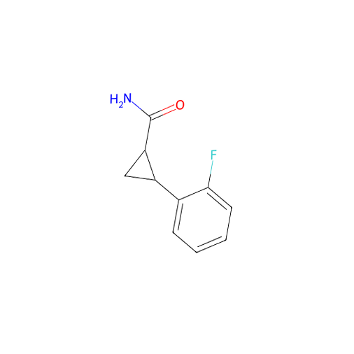 NC(=O)C1CC1c1ccccc1F